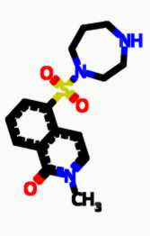 Cn1ccc2c(S(=O)(=O)N3CCCNCC3)cccc2c1=O